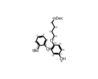 CC(C)(C)c1ccccc1O.CCCCCCCCCCCCCCOc1ccc(O)cc1